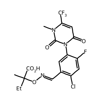 CCC(C)(O/N=C/c1cc(-n2c(=O)cc(C(F)(F)F)n(C)c2=O)c(F)cc1Cl)C(=O)O